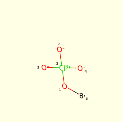 [B]O[Cl+3]([O-])([O-])[O-]